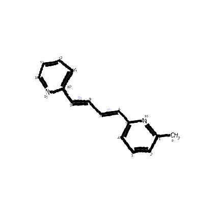 Cc1cccc(/C=C/C=C/c2ccccn2)n1